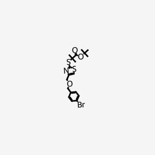 CC(C)(C)OC(=O)C(C)(C)Sc1nc(COCc2ccc(Br)cc2)cs1